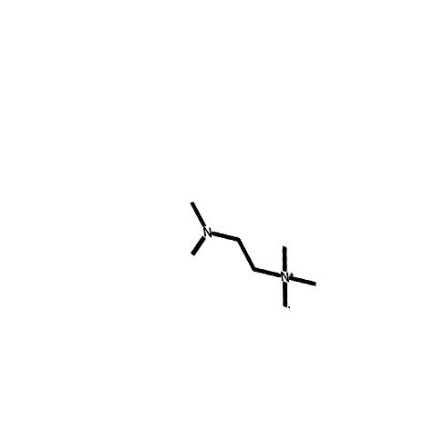 [CH2][N+](C)(C)CCN(C)C